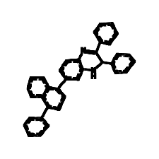 c1ccc(C2=Nc3ccc(-c4ccc(-c5ccccc5)c5ccccc45)cc3NC2c2ccccc2)cc1